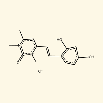 Cc1cc(C=Cc2ccc(O)cc2O)[n+](C)c(=O)n1C.[Cl-]